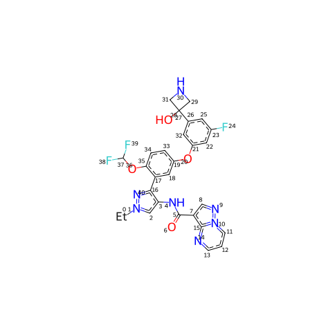 CCn1cc(NC(=O)c2cnn3cccnc23)c(-c2cc(Oc3cc(F)cc(C4(O)CNC4)c3)ccc2OC(F)F)n1